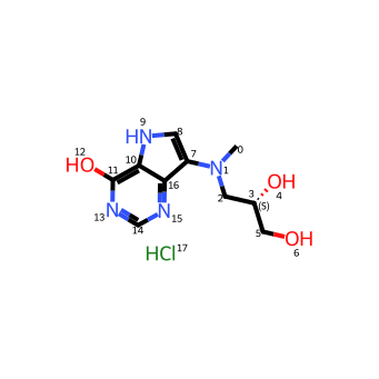 CN(C[C@H](O)CO)c1c[nH]c2c(O)ncnc12.Cl